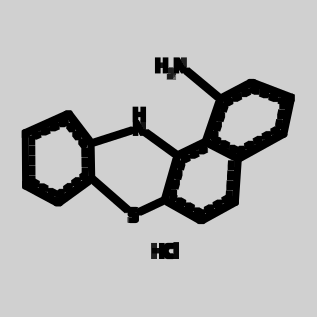 Cl.Nc1cccc2ccc3c(c12)Nc1ccccc1S3